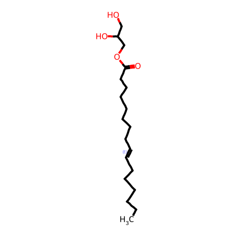 CCCCCC/C=C/CCCCCCCC(=O)OCC(O)CO